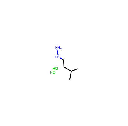 CC(C)CCNN.Cl.Cl